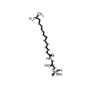 CC(C)CCCCCCCCCCCCC(=O)NCC(O)COP(=O)(O)O